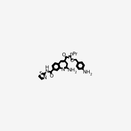 CCCN(OCc1ccc(N)cc1)C(=O)C1=Cc2ccc(C(=O)Nc3nccs3)cc2N=C(N)C1